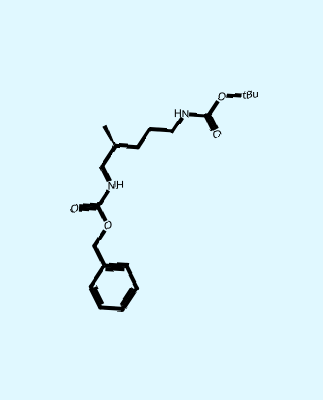 C[C@@H](CCCNC(=O)OC(C)(C)C)CNC(=O)OCc1ccccc1